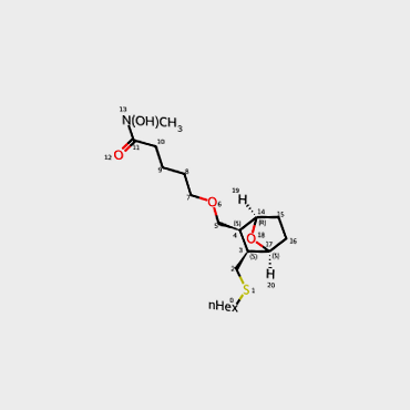 CCCCCCSC[C@H]1[C@@H](COCCCCC(=O)N(C)O)[C@H]2CC[C@@H]1O2